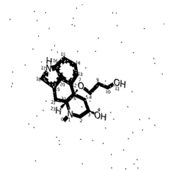 CN1C[C@H](O)C[C@]2(OCCCO)c3cccc4[nH]cc(c34)C[C@@H]12